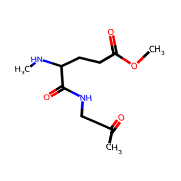 CNC(CCC(=O)OC)C(=O)NCC(C)=O